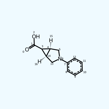 O=C(O)C1[C@H]2CN(c3ccccc3)C[C@@H]12